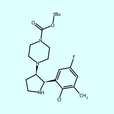 Cc1cc(F)cc([C@H]2NCC[C@H]2N2CCN(C(=O)OC(C)(C)C)CC2)c1Cl